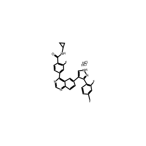 Cl.Cl.O=C(NC1CC1)c1ccc(-c2ncnc3ccc(-c4c[nH]nc4-c4ccc(F)cc4F)cc23)cc1F